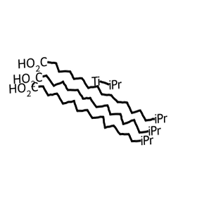 CC(C)CCCCCCCCCCCCCCC(=O)O.CC(C)CCCCCCCCCCCCCCC(=O)O.CC(C)CCCCCCCCCCCCCCC(=O)O.C[CH](C)[Ti]